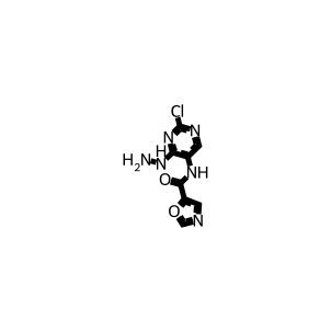 NNc1nc(Cl)ncc1NC(=O)c1cnco1